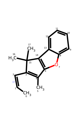 C/C=C\C1=C(C)c2oc3ccccc3c2C1(C)C